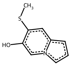 CSc1cc2cccn2cc1O